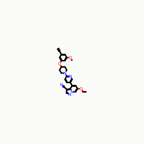 C#Cc1cc(OC)cc(OC2CCN(c3ccc(-c4cc(OCC)cn5ncc(C#N)c45)cn3)CC2)c1